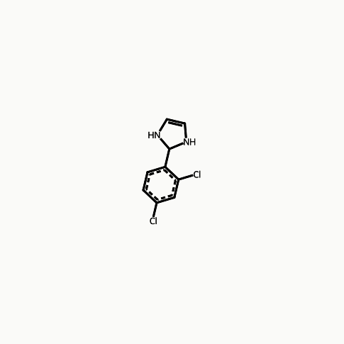 Clc1ccc(C2NC=CN2)c(Cl)c1